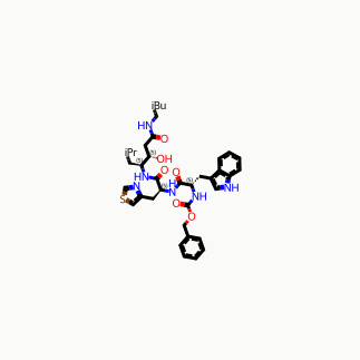 CCC(C)CNC(=O)C[C@H](O)[C@H](CC(C)C)NC(=O)[C@H](Cc1cscn1)NC(=O)[C@H](Cc1c[nH]c2ccccc12)NC(=O)OCc1ccccc1